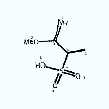 COC(=N)C(C)S(=O)(=O)O